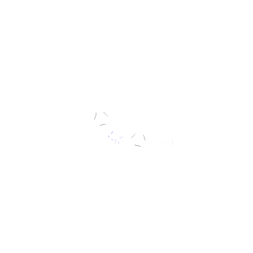 O=C(O)c1ccc(-c2nnc(-c3ccc(Cl)c(Cl)c3)o2)cc1